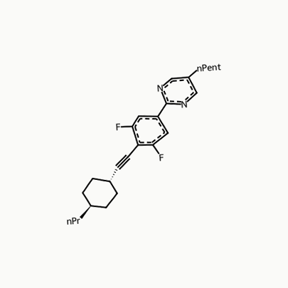 CCCCCc1cnc(-c2cc(F)c(C#C[C@H]3CC[C@H](CCC)CC3)c(F)c2)nc1